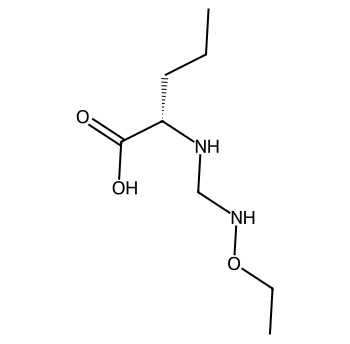 CCC[C@H](NCNOCC)C(=O)O